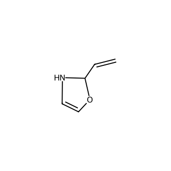 C=CC1NC=CO1